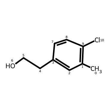 Cc1cc(CCO)ccc1Cl